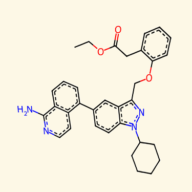 CCOC(=O)Cc1ccccc1OCc1nn(C2CCCCC2)c2ccc(-c3cccc4c(N)nccc34)cc12